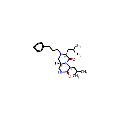 CC(C)C[C@H]1C(=O)N2[C@H](CNC(=O)[C@@H]2CC(C)C)CN1CCCc1ccccc1